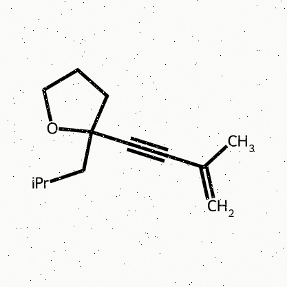 C=C(C)C#CC1(CC(C)C)CCCO1